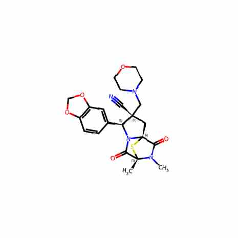 CN1C(=O)[C@@]23C[C@@](C#N)(CN4CCOCC4)[C@H](c4ccc5c(c4)OCO5)N2C(=O)[C@]1(C)S3